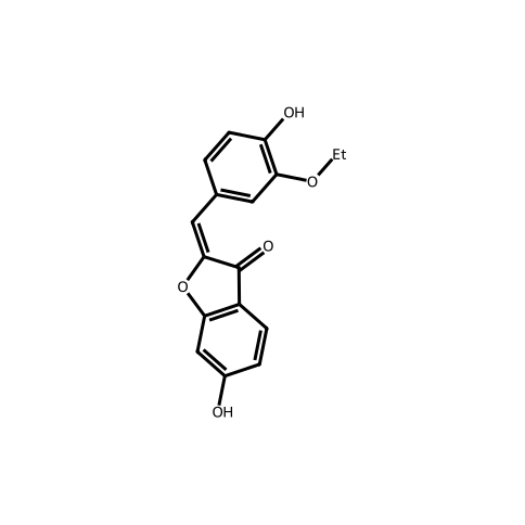 CCOc1cc(C=C2Oc3cc(O)ccc3C2=O)ccc1O